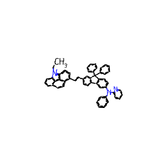 CCn1c2cccc3ccc4c(/C=C/c5ccc6c(c5)C(c5ccccc5)(c5ccccc5)c5ccc(N(c7ccccc7)c7ccccn7)cc5-6)ccc1c4c32